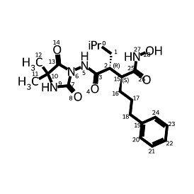 CC(C)C[C@@H](C(=O)NN1C(=O)NC(C)(C)C1=O)[C@H](CCCc1ccccc1)C(=O)NO